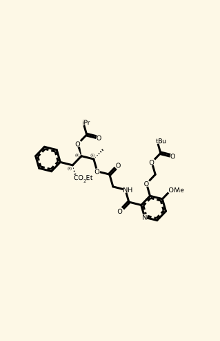 CCOC(=O)[C@H](c1ccccc1)[C@@H](OC(=O)C(C)C)[C@H](C)OC(=O)CNC(=O)c1nccc(OC)c1OCOC(=O)C(C)(C)C